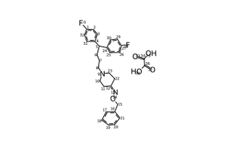 Fc1ccc(C(CCCN2CCC(=NOCc3ccccc3)CC2)c2ccc(F)cc2)cc1.O=C(O)C(=O)O